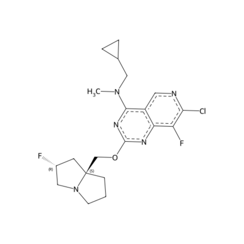 CN(CC1CC1)c1nc(OC[C@@]23CCCN2C[C@H](F)C3)nc2c(F)c(Cl)ncc12